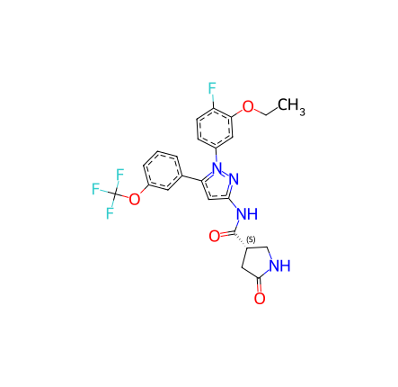 CCOc1cc(-n2nc(NC(=O)[C@@H]3CNC(=O)C3)cc2-c2cccc(OC(F)(F)F)c2)ccc1F